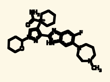 CN1CCCN(c2cc3[nH]c(-c4nn(C5CCCCO5)cc4[N+]4(C(N)=O)CCCCC4)nc3cc2F)CC1